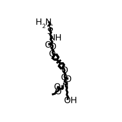 CCCOC(=O)CCN(CCCCCO)CCC(=O)OCCOc1ccc(C(C)(C)c2ccc(OCCOC(=O)CCNCCSSCCN)cc2)cc1